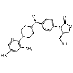 Cc1cnc(N2CCN(C(=O)c3ccc(N4C(=O)OC[C@H]4CO)nc3)CC2)c(C)c1